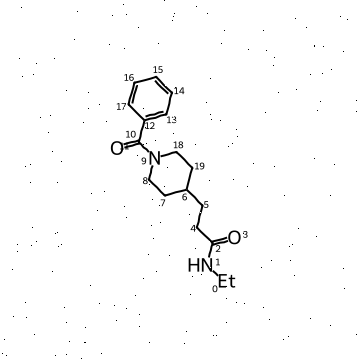 CCNC(=O)CCC1CCN(C(=O)c2ccccc2)CC1